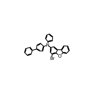 Brc1cc(N(c2ccccc2)c2ccc(-c3ccccc3)cc2)cc2c1oc1ccccc12